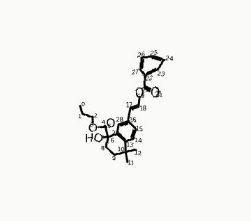 CCCOC(=O)C1(O)CCC(C)(C)c2ccc(C=COC(=O)c3ccccc3)cc21